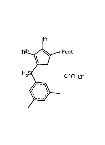 CCCCCC1=C(C(C)C)[C]([Ti+3])=C([SiH2]c2cc(C)cc(C)c2)C1.[Cl-].[Cl-].[Cl-]